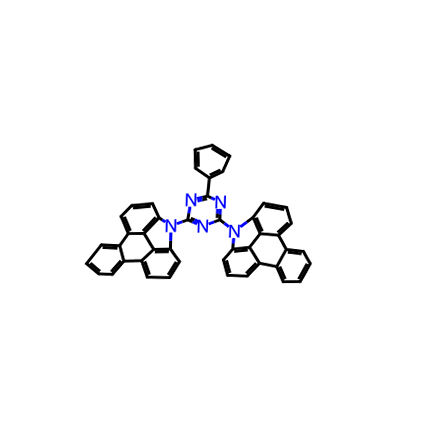 c1ccc(-c2nc(-n3c4cccc5c6ccccc6c6cccc3c6c54)nc(-n3c4cccc5c6ccccc6c6cccc3c6c54)n2)cc1